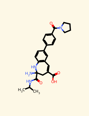 CC(C)NC(=O)C1(N)CC(C(=O)O)=Cc2cc(-c3ccc(C(=O)N4CCCC4)cc3)ccc2N1